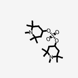 CN1C(C)(C)CC(OS(=O)(=O)OC2CC(C)(C)N(C)C(C)(C)C2)CC1(C)C